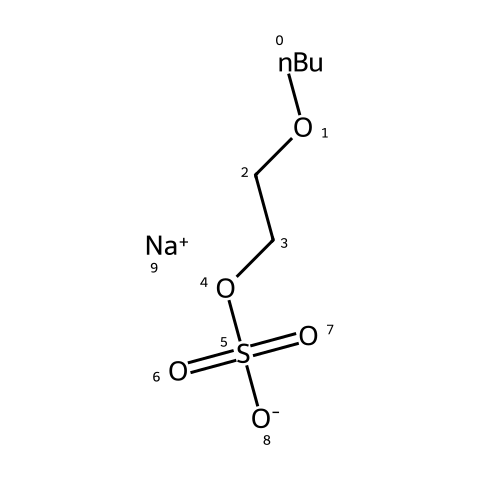 CCCCOCCOS(=O)(=O)[O-].[Na+]